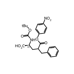 CC(C)(C)OC(=O)N[C@@H](CC(Cc1ccccc1)C(=O)Oc1ccc([N+](=O)[O-])cc1)C(=O)O